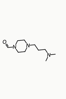 CN(C)CCCN1CCN(C=O)CC1